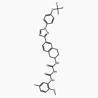 COc1ccc(C)cc1NC(=S)NC(=O)NC1CCc2cc(-c3ncn(-c4ccc(OC(F)(F)F)cc4)n3)ccc2C1